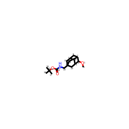 COC1C2CC3CC1CC(CNC(=O)OC(C)(C)C)(C3)C2